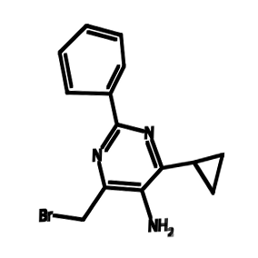 Nc1c(CBr)nc(-c2ccccc2)nc1C1CC1